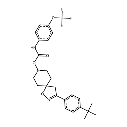 CC(C)(C)c1ccc(C2=NOC3(CCN(OC(=O)Nc4ccc(OC(F)(F)F)cc4)CC3)C2)cc1